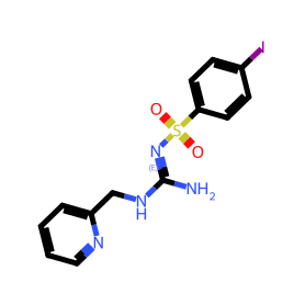 N/C(=N\S(=O)(=O)c1ccc(I)cc1)NCc1ccccn1